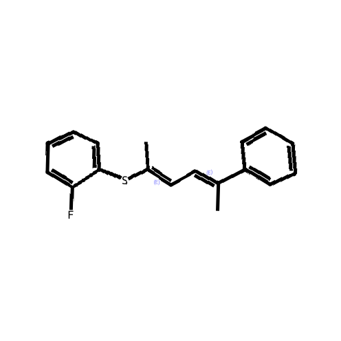 C/C(=C\C=C(/C)c1ccccc1)Sc1ccccc1F